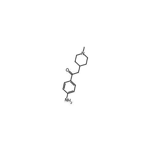 CN1CCC(CC(=O)c2ccc(N)cc2)CC1